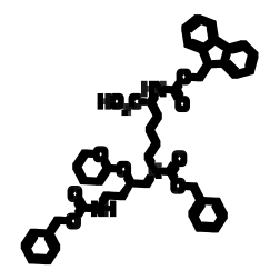 O=C(NCC[C@H](CN(CCCC[C@H](NC(=O)OCC1c2ccccc2-c2ccccc21)C(=O)O)C(=O)OCc1ccccc1)OC1CCCCO1)OCc1ccccc1